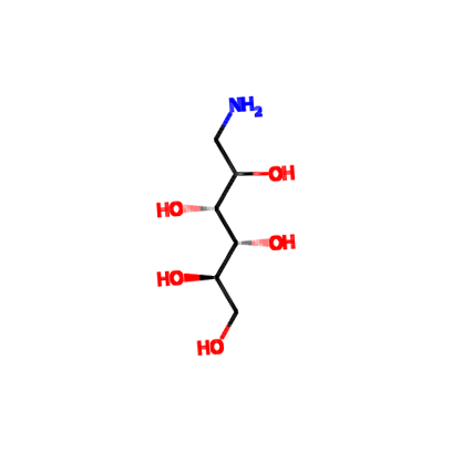 NCC(O)[C@@H](O)[C@H](O)[C@H](O)CO